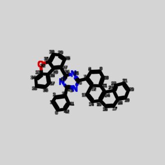 c1ccc(-c2nc(-c3cccc4c3ccc3ccc5ccccc5c34)nc(-c3cccc4oc5ccccc5c34)n2)cc1